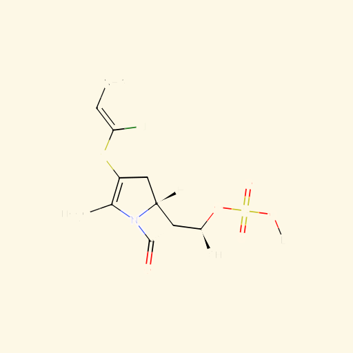 CCOS(=O)(=O)O[C@@H](C)[C@@H]1C(=O)N2C(C(=O)O)=C(S/C(Cl)=C/NC(C)=O)C[C@H]12